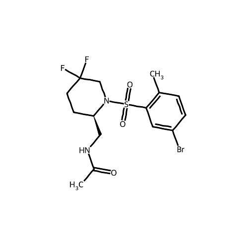 CC(=O)NC[C@H]1CCC(F)(F)CN1S(=O)(=O)c1cc(Br)ccc1C